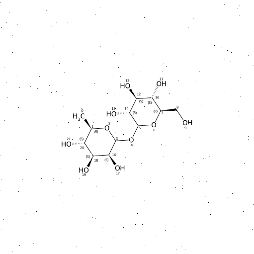 C[C@H]1OC(OC2O[C@H](CO)[C@@H](O)[C@H](O)[C@H]2O)[C@@H](O)[C@@H](O)[C@@H]1O